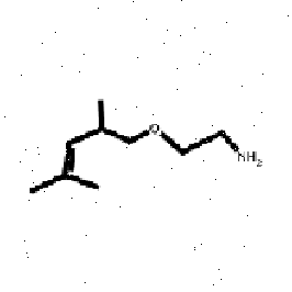 CC(C)=CC(C)COCCN